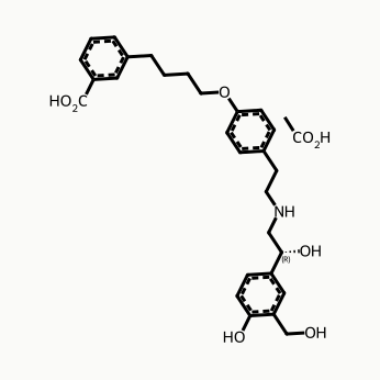 CC(=O)O.O=C(O)c1cccc(CCCCOc2ccc(CCNC[C@H](O)c3ccc(O)c(CO)c3)cc2)c1